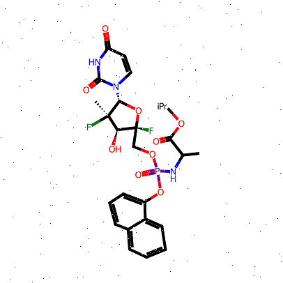 CC(C)OC(=O)C(C)NP(=O)(OC[C@@]1(F)O[C@@H](n2ccc(=O)[nH]c2=O)[C@](C)(F)[C@@H]1O)Oc1cccc2ccccc12